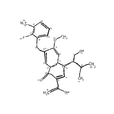 C=C(O)c1cn(C(CO)C(C)C)c2cc(OC)c(Cc3cccc(C)c3F)cc2c1=O